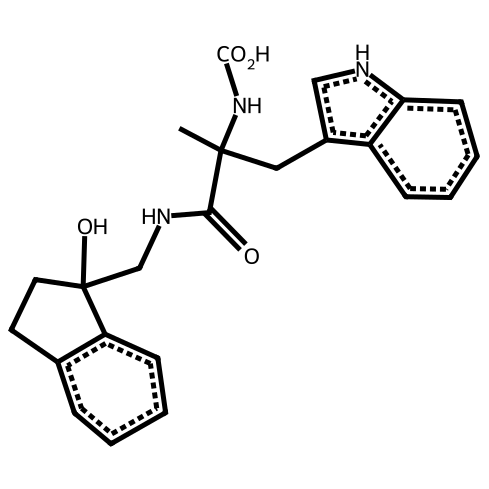 CC(Cc1c[nH]c2ccccc12)(NC(=O)O)C(=O)NCC1(O)CCc2ccccc21